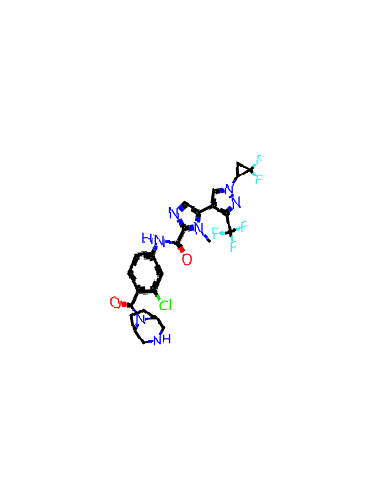 Cn1c(-c2cn(C3CC3(F)F)nc2C(F)(F)F)cnc1C(=O)Nc1ccc(C(=O)N2C3CCC2CNC3)c(Cl)c1